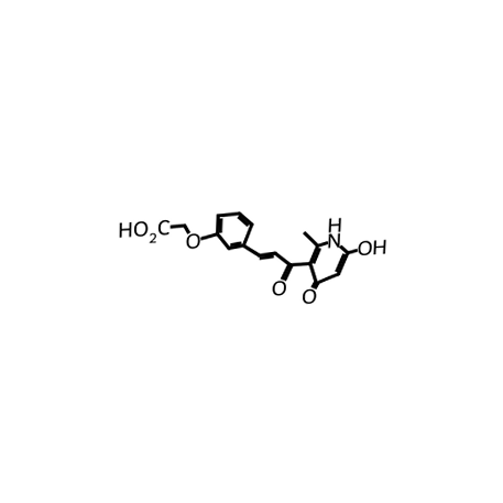 Cc1[nH]c(O)cc(=O)c1C(=O)/C=C/c1cccc(OCC(=O)O)c1